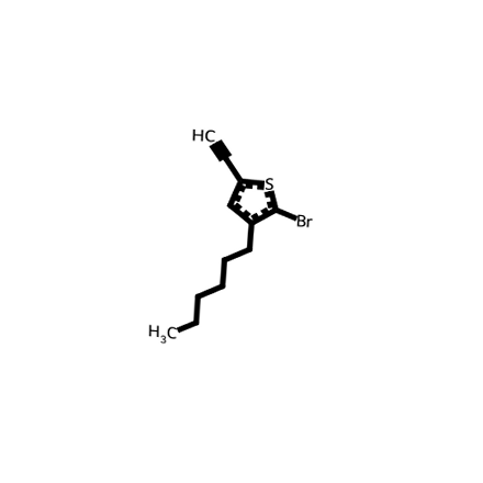 C#Cc1cc(CCCCCC)c(Br)s1